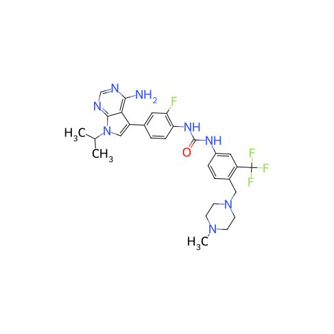 CC(C)n1cc(-c2ccc(NC(=O)Nc3ccc(CN4CCN(C)CC4)c(C(F)(F)F)c3)c(F)c2)c2c(N)ncnc21